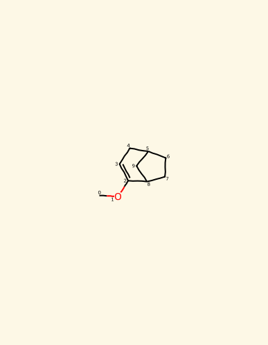 COC1=CCC2CCC1C2